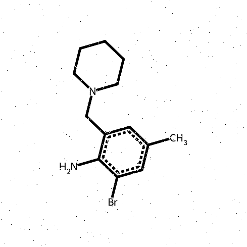 Cc1cc(Br)c(N)c(CN2CCCCC2)c1